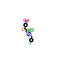 Cl.Cl.O=C(CCN1CCN(Cc2ccc(F)cc2)CC1)c1ccc([N+](=O)[O-])cc1